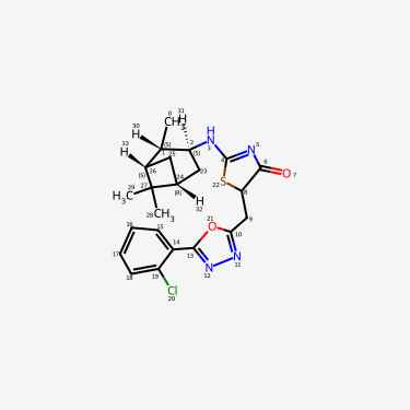 C[C@@H]1[C@@H](NC2=NC(=O)C(Cc3nnc(-c4ccccc4Cl)o3)S2)C[C@H]2C[C@@H]1C2(C)C